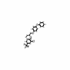 CCC(COc1ccc(Oc2ccccc2)cc1)Oc1ncc(C(F)(F)F)cc1Cl